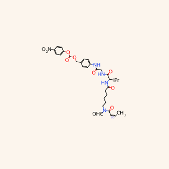 C/C=C\C(=O)N(C=O)CCCCCC(=O)NC(C(=O)NCC(=O)Nc1ccc(COC(=O)Oc2ccc([N+](=O)[O-])cc2)cc1)C(C)C